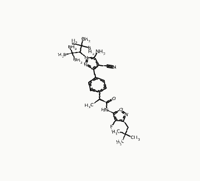 BC(B)(B)C(n1nc(-c2ccc(C(C)C(=O)Nc3onc(CC(C)(C)C)c3F)cc2)c(C#N)c1N)C(B)(B)B